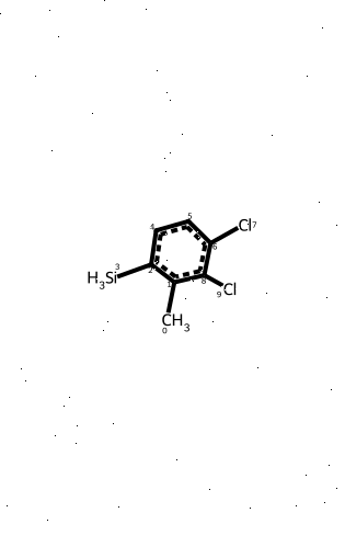 Cc1c([SiH3])ccc(Cl)c1Cl